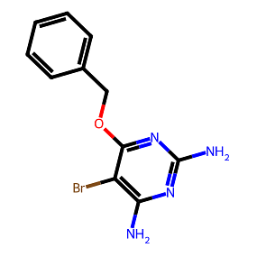 Nc1nc(N)c(Br)c(OCc2ccccc2)n1